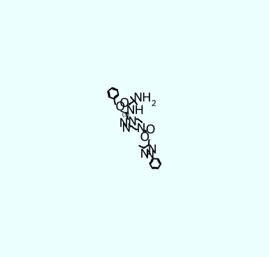 Cc1nn(-c2ccccc2)nc1COC(=O)N1CCn2c(nnc2[C@@H](COCc2ccccc2)NC(=O)C(C)(C)N)C1